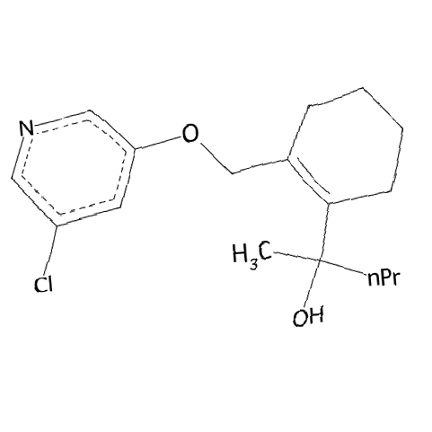 CCCC(C)(O)C1=C(COc2cncc(Cl)c2)CCCC1